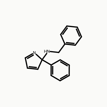 C1=CC(NCc2ccccc2)(c2ccccc2)N=C1